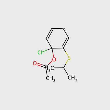 CC(=O)OC1(Cl)C=C[CH]C=C1SC(C)C